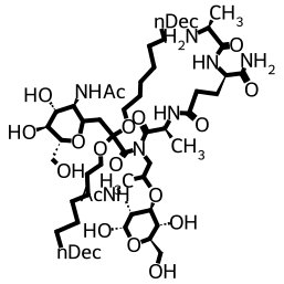 CCCCCCCCCCCCCCCCOC(CC1O[C@H](CO)[C@@H](O)[C@H](O)[C@H]1NC(C)=O)(OCCCCCCCCCCCCCCCC)C(=O)N(CC(C)O[C@H]1[C@H](O)[C@@H](CO)O[C@H](O)[C@@H]1NC(C)=O)C(=O)[C@H](C)NC(=O)CC[C@@H](NC(=O)[C@H](C)N)C(N)=O